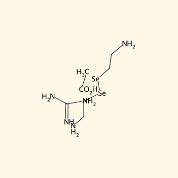 CC(=O)O.N=C(N)N.NCC[Se][Se]CCN